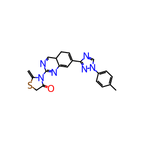 C=C1SCC(=O)N1C1=NC2=CC(c3ncn(-c4ccc(C)cc4)n3)=CCC2C=N1